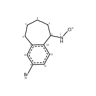 ClNC1CCCCc2cc(Br)ccc21